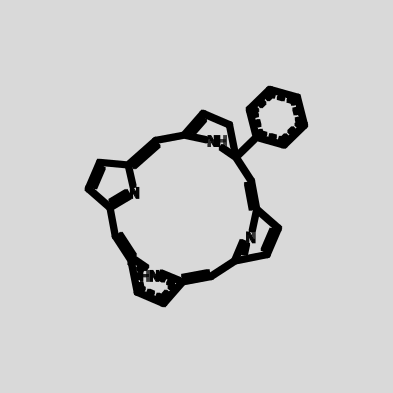 C1=CC2=NC1=CC1=CCC(c3ccccc3)(C=C3C=CC(=N3)C=c3ccc([nH]3)=C2)N1